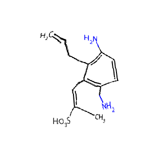 C=CCc1c(N)ccc(N)c1/C=C(\C)S(=O)(=O)O